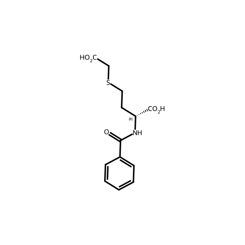 O=C(O)CSCC[C@@H](NC(=O)c1ccccc1)C(=O)O